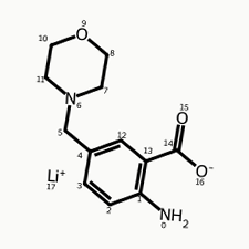 Nc1ccc(CN2CCOCC2)cc1C(=O)[O-].[Li+]